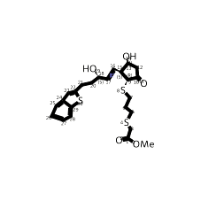 COC(=O)CSCCCS[C@H]1C(=O)C[C@@H](O)[C@@H]1/C=C/[C@@H](O)CCc1cc2ccccc2s1